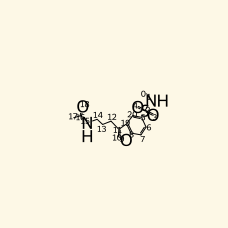 CNS(=O)(=O)c1ccc2occ(CCCNC(C)=O)c2c1